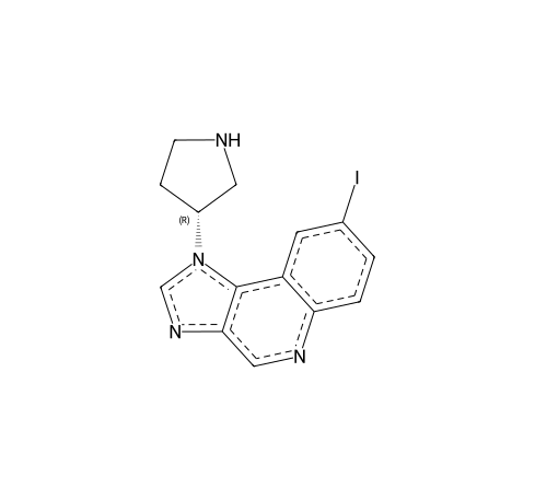 Ic1ccc2ncc3ncn([C@@H]4CCNC4)c3c2c1